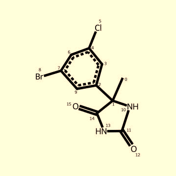 CC1(c2cc(Cl)cc(Br)c2)NC(=O)NC1=O